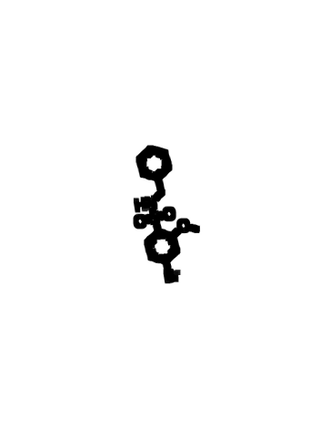 COc1cc(Br)ccc1S(=O)(=O)NCc1ccccc1